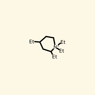 CCC1CC[N+](CC)(CC)C(CC)C1